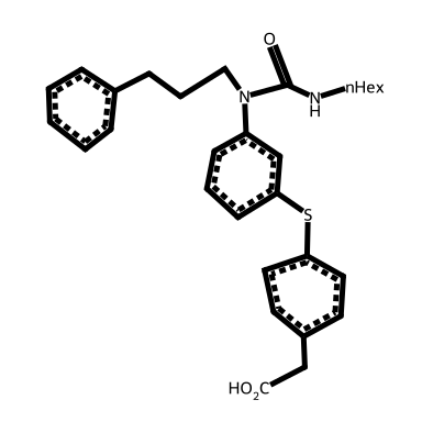 CCCCCCNC(=O)N(CCCc1ccccc1)c1cccc(Sc2ccc(CC(=O)O)cc2)c1